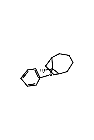 PC1(Nc2ccccc2)C2CCCCC1CC2